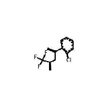 C=C(CC(=C)C(F)(F)F)c1ccccc1Cl